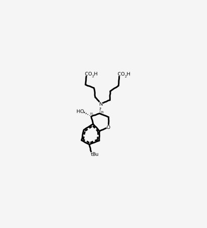 CC(C)(C)c1ccc2c(c1)OC[C@@H](N(CCCC(=O)O)CCCC(=O)O)[C@H]2O